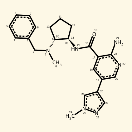 CN(Cc1ccccc1)[C@@H]1CCC[C@H]1NC(=O)c1cc(-c2cnn(C)c2)cnc1N